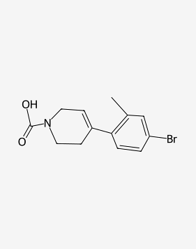 Cc1cc(Br)ccc1C1=CCN(C(=O)O)CC1